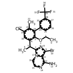 CCOc1c(C(C)c2nc(Br)c3c(N)nccn23)cc(Cl)c(C)c1-c1cccc(C(F)(F)F)c1